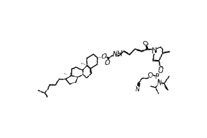 CC(C)CCCC1CCC2C3CC=C4C[C@@H](OC(=O)NCCCCCC(=O)N5CC(C)C(OP(OCCC#N)N(C(C)C)C(C)C)C5)CC[C@]4(C)C3CC[C@]12C